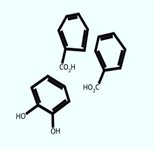 O=C(O)c1ccccc1.O=C(O)c1ccccc1.Oc1ccccc1O